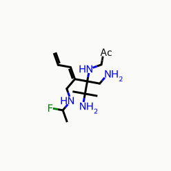 C=C/C=C(\CNC(C)F)C(CN)(NCC(C)=O)C(C)(C)N